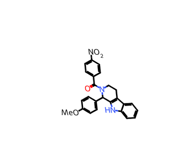 COc1ccc(C2c3[nH]c4ccccc4c3CCN2C(=O)c2ccc([N+](=O)[O-])cc2)cc1